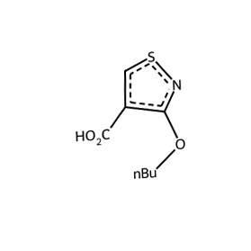 CCCCOc1nscc1C(=O)O